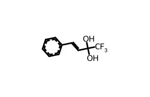 OC(O)(/C=C/c1ccccc1)C(F)(F)F